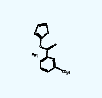 O=C(O)c1cccc(C(=O)Oc2nccs2)c1.[MgH2]